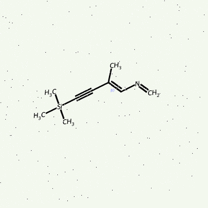 C=N/C=C(\C)C#C[Si](C)(C)C